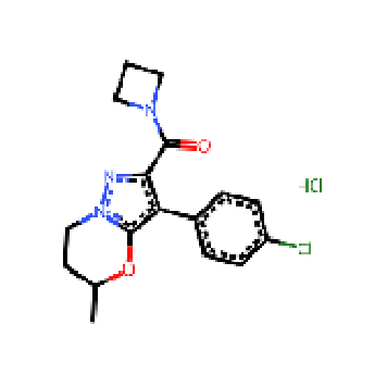 CC1CCn2nc(C(=O)N3CCC3)c(-c3ccc(Cl)cc3)c2O1.Cl